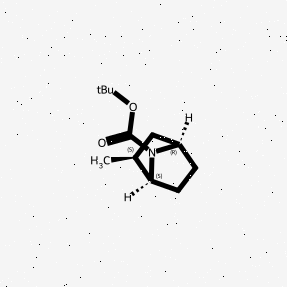 C[C@H]1C[C@H]2CC[C@@H]1N2C(=O)OC(C)(C)C